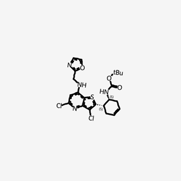 CC(C)(C)OC(=O)N[C@H]1CC=CC[C@@H]1c1sc2c(NCc3ncco3)cc(Cl)nc2c1Cl